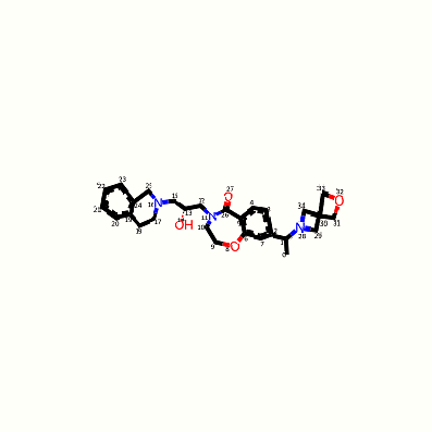 CC(c1ccc2c(c1)OCCN(C[C@H](O)CN1CCc3ccccc3C1)C2=O)N1CC2(COC2)C1